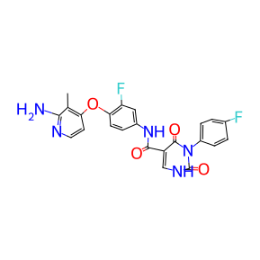 Cc1c(Oc2ccc(NC(=O)c3c[nH]c(=O)n(-c4ccc(F)cc4)c3=O)cc2F)ccnc1N